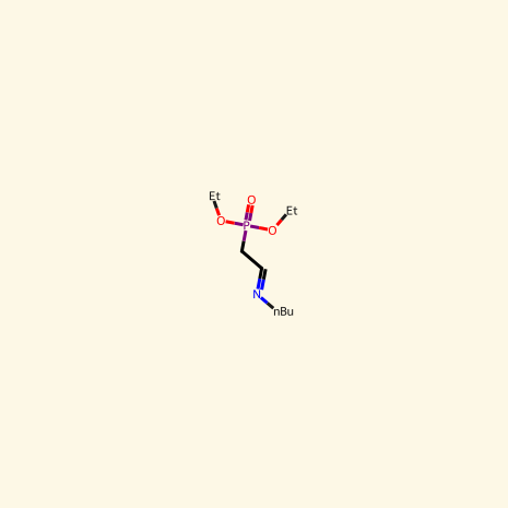 CCCCN=CCP(=O)(OCC)OCC